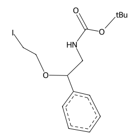 CC(C)(C)OC(=O)NCC(OCCI)c1ccccc1